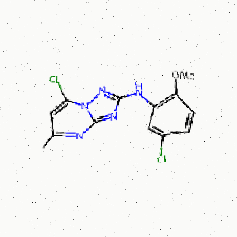 COc1ccc(Cl)cc1Nc1nc2nc(C)cc(Cl)n2n1